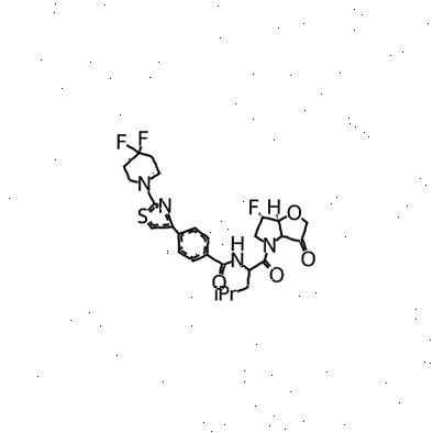 CC(C)CC(NC(=O)c1ccc(-c2csc(N3CCC(F)(F)CC3)n2)cc1)C(=O)N1C[C@H](F)[C@H]2OCC(=O)C21